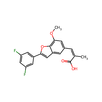 COc1cc(C=C(C)C(=O)O)cc2cc(-c3cc(F)cc(F)c3)oc12